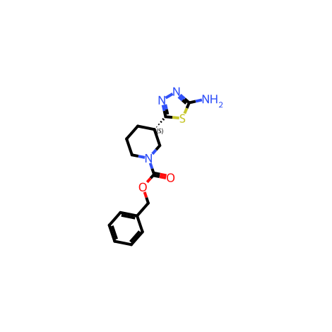 Nc1nnc([C@H]2CCCN(C(=O)OCc3ccccc3)C2)s1